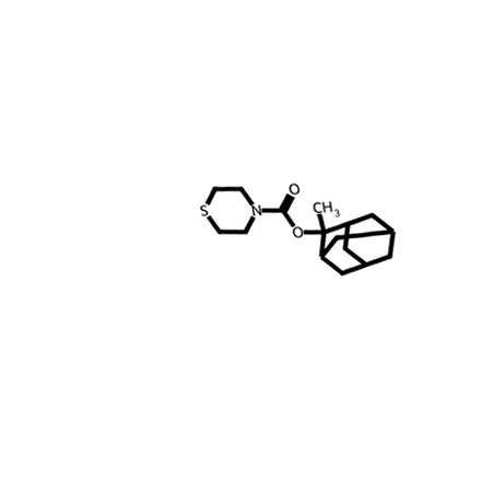 CC1(OC(=O)N2CCSCC2)C2CC3CC(C2)CC1C3